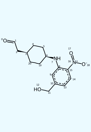 O=CC[C@H]1CC[C@@H](Nc2cc(CO)ccc2[N+](=O)[O-])CC1